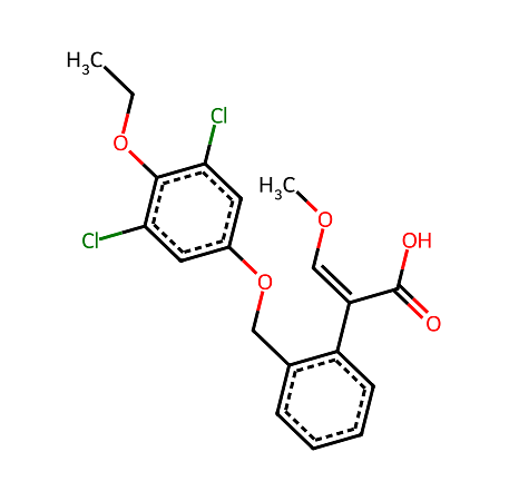 CCOc1c(Cl)cc(OCc2ccccc2C(=COC)C(=O)O)cc1Cl